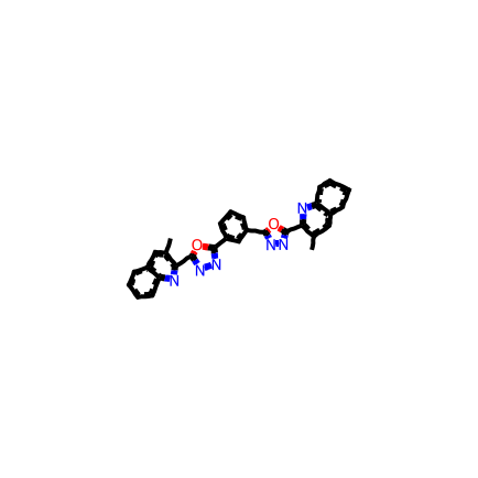 Cc1cc2ccccc2nc1-c1nnc(-c2cccc(-c3nnc(-c4nc5ccccc5cc4C)o3)c2)o1